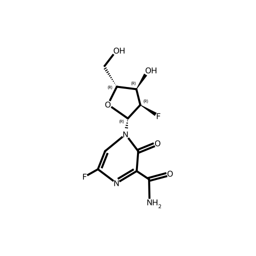 NC(=O)c1nc(F)cn([C@@H]2O[C@H](CO)[C@@H](O)[C@H]2F)c1=O